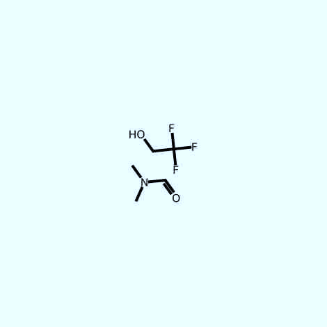 CN(C)C=O.OCC(F)(F)F